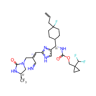 C=CCC1(F)CCC([C@H](NC(=O)OCC2(C(F)F)CC2)c2c[nH]c(/C=C(\C=N)CN3C[C@@H](C(F)(F)F)NC3=O)n2)CC1